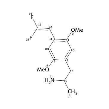 COc1cc(CC(C)N)c(OC)cc1C=C(F)F